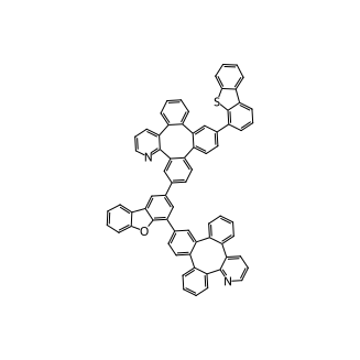 c1ccc2c(c1)-c1cc(-c3cc(-c4ccc5c(c4)-c4ncccc4-c4ccccc4-c4cc(-c6cccc7c6sc6ccccc67)ccc4-5)cc4c3oc3ccccc34)ccc1-c1ccccc1-c1ncccc1-2